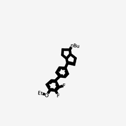 CCCCC1CCC2C(c3ccc(-c4ccc(OCC)c(F)c4F)cc3)=CCC12